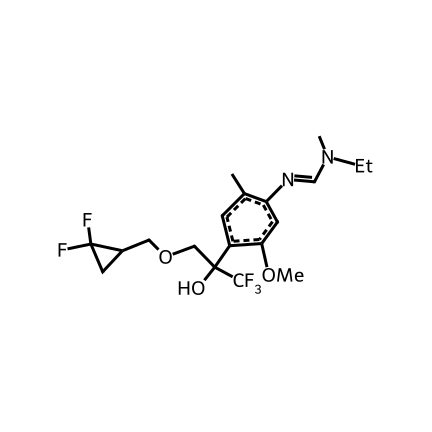 CCN(C)C=Nc1cc(OC)c(C(O)(COCC2CC2(F)F)C(F)(F)F)cc1C